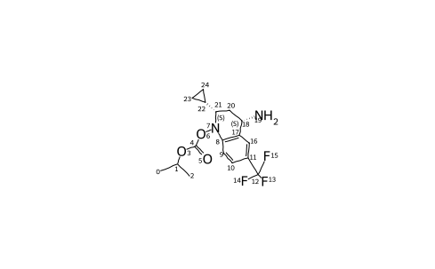 CC(C)OC(=O)ON1c2ccc(C(F)(F)F)cc2[C@@H](N)C[C@H]1C1CC1